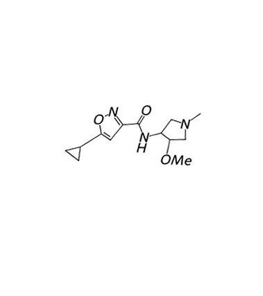 COC1CN(C)CC1NC(=O)c1cc(C2CC2)on1